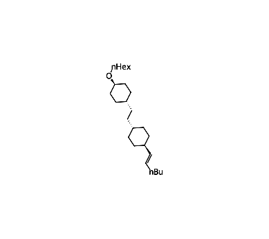 CCCC/C=C/[C@H]1CC[C@H](CC[C@H]2CC[C@H](OCCCCCC)CC2)CC1